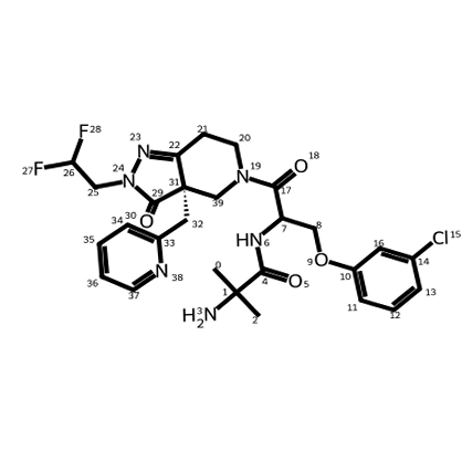 CC(C)(N)C(=O)NC(COc1cccc(Cl)c1)C(=O)N1CCC2=NN(CC(F)F)C(=O)[C@]2(Cc2ccccn2)C1